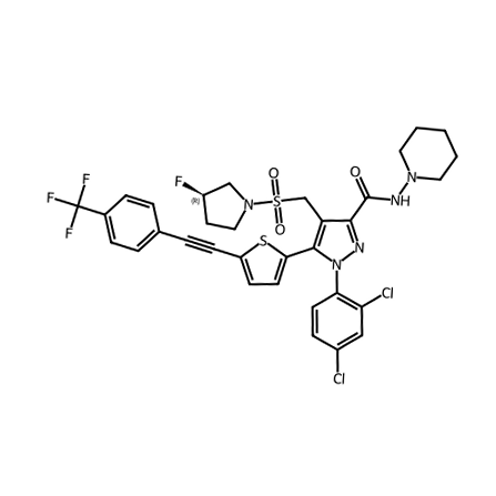 O=C(NN1CCCCC1)c1nn(-c2ccc(Cl)cc2Cl)c(-c2ccc(C#Cc3ccc(C(F)(F)F)cc3)s2)c1CS(=O)(=O)N1CC[C@@H](F)C1